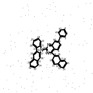 c1ccc(-c2ccc3c(-c4ccc5ccccc5c4)nc(-n4c5ccccc5c5cc6ccccc6cc54)nc3c2)cc1